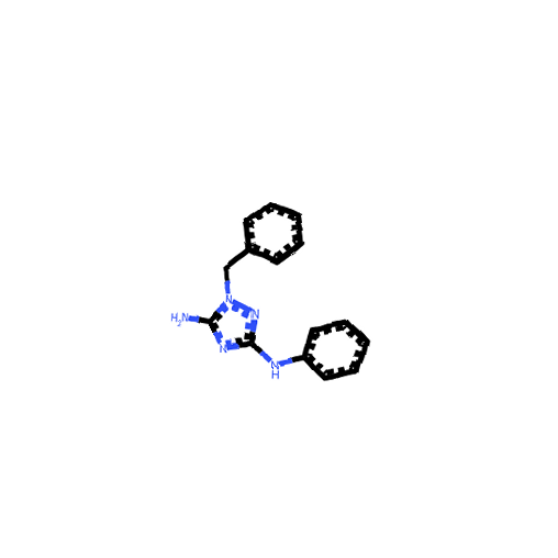 Nc1nc(Nc2ccccc2)nn1Cc1ccccc1